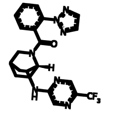 O=C(c1ccccc1-n1nccn1)N1CC2CC[C@@H]1C(Nc1cnc(C(F)(F)F)cn1)C2